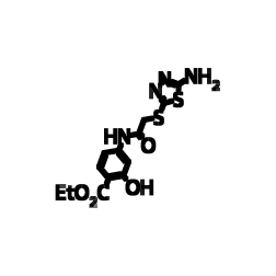 CCOC(=O)c1ccc(NC(=O)CSc2nnc(N)s2)cc1O